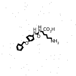 NCCCC[C@H](NC(=O)Nc1ccc(OCc2ccccc2)cc1)C(=O)O